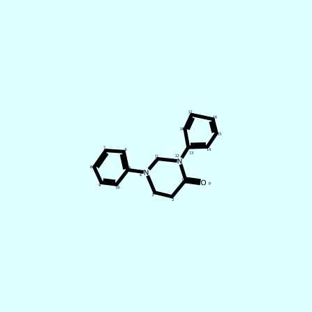 O=C1CCN(c2ccccc2)CN1c1ccccc1